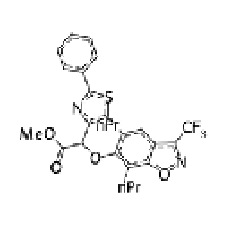 CCCc1cc2c(C(F)(F)F)noc2c(CCC)c1OC(C(=O)OC)c1csc(-c2ccccc2)n1